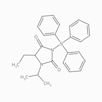 CCC1C(=O)N([Si](c2ccccc2)(c2ccccc2)c2ccccc2)C(=O)N1C(C)C